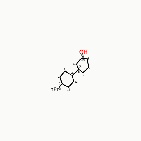 CCC[C@H]1CC[C@@H]([C@@H]2CCC[C@@H](O)C2)CC1